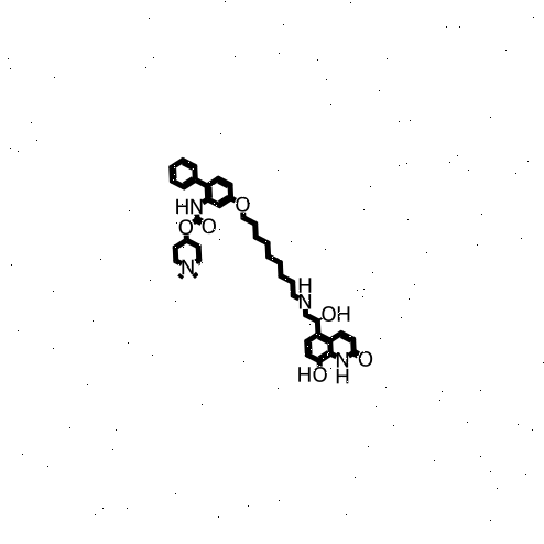 C[N+]1(C)CCC(OC(=O)Nc2cc(OCCCCCCCCCNC[C@H](O)c3ccc(O)c4[nH]c(=O)ccc34)ccc2-c2ccccc2)CC1